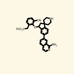 CCOC(=O)Cc1cccc(C#N)c1OC1CC2(CCNCC2)c2ccc(-c3ccc4ccnc(N)c4c3)cc21